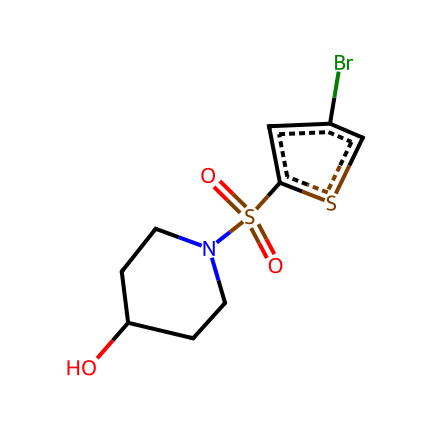 O=S(=O)(c1cc(Br)cs1)N1CCC(O)CC1